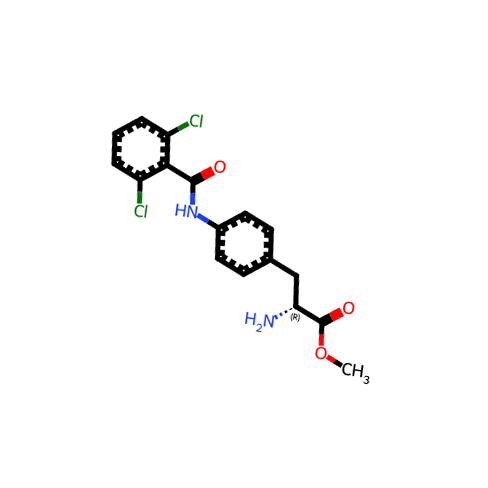 COC(=O)[C@H](N)Cc1ccc(NC(=O)c2c(Cl)cccc2Cl)cc1